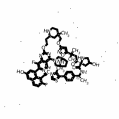 C#Cc1c(F)ccc2cc(O)cc(-c3ncc4c(N5CC6CCC(C5)N6)nc(OCCC5CC(C)(COc6cc(C(C)(C)CC(=O)[C@@]7(C(=O)N[C@@H](C)c8ccc(-c9scnc9C)cc8)CC(O)CN7)on6)CCN5)nc4c3F)c12